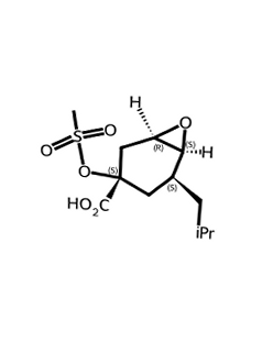 CC(C)C[C@H]1C[C@@](OS(C)(=O)=O)(C(=O)O)C[C@H]2O[C@@H]12